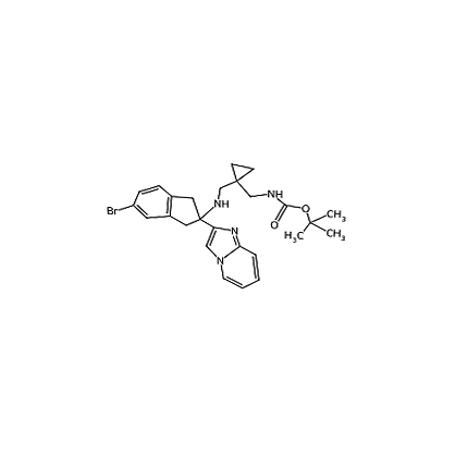 CC(C)(C)OC(=O)NCC1(CNC2(c3cn4ccccc4n3)Cc3ccc(Br)cc3C2)CC1